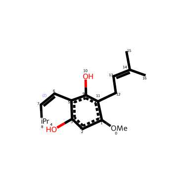 COc1[c]c(O)c(/C=C\C(C)C)c(O)c1CC=C(C)C